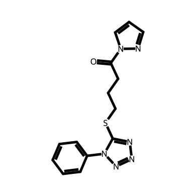 O=C(CCCSc1nnnn1-c1ccccc1)n1cccn1